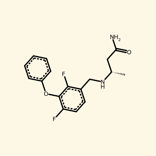 C[C@@H](CC(N)=O)NCc1ccc(F)c(Oc2ccccc2)c1F